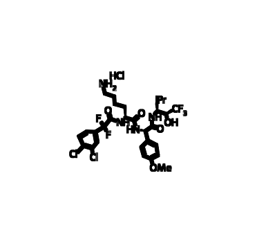 COc1ccc([C@H](NC(=O)[C@H](CCCCN)NC(=O)C(F)(F)c2ccc(Cl)c(Cl)c2)C(=O)N[C@@H](C(C)C)[C@H](O)C(F)(F)F)cc1.Cl